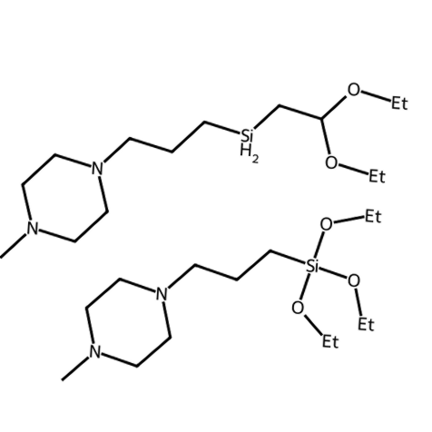 CCOC(C[SiH2]CCCN1CCN(C)CC1)OCC.CCO[Si](CCCN1CCN(C)CC1)(OCC)OCC